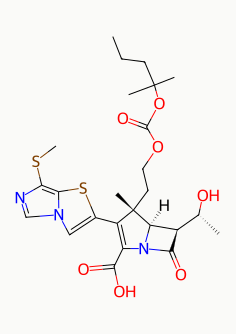 CCCC(C)(C)OC(=O)OCC[C@@]1(C)C(c2cn3cnc(SC)c3s2)=C(C(=O)O)N2C(=O)[C@H]([C@@H](C)O)[C@@H]21